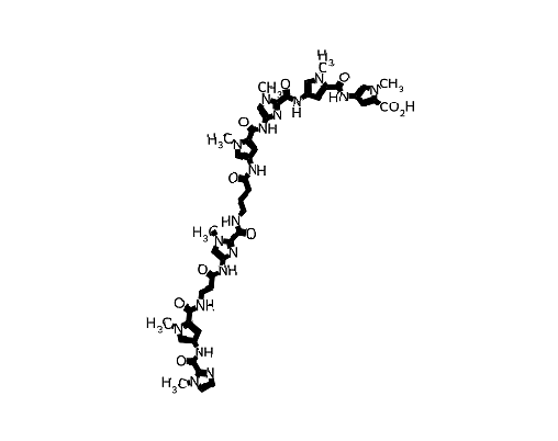 Cn1cc(NC(=O)c2cc(NC(=O)c3nc(NC(=O)c4cc(NC(=O)CCCNC(=O)c5nc(NC(=O)CCNC(=O)c6cc(NC(=O)c7nccn7C)cn6C)cn5C)cn4C)cn3C)cn2C)cc1C(=O)O